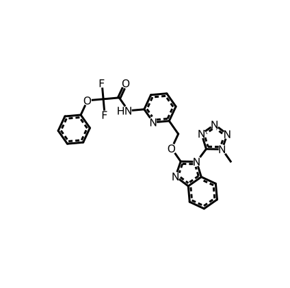 Cn1nnnc1-n1c(OCc2cccc(NC(=O)C(F)(F)Oc3ccccc3)n2)nc2ccccc21